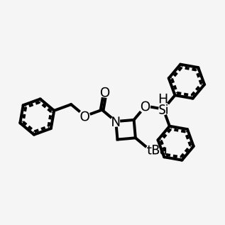 CC(C)(C)C1CN(C(=O)OCc2ccccc2)C1O[SiH](c1ccccc1)c1ccccc1